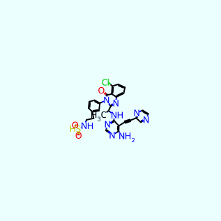 CC(Nc1ncnc(N)c1C#Cc1cnccn1)c1nc2cccc(Cl)c2c(=O)n1-c1cccc(CCN[SH](=O)=O)c1